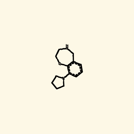 c1cc2c(c(N3CCCC3)c1)OCCNC2